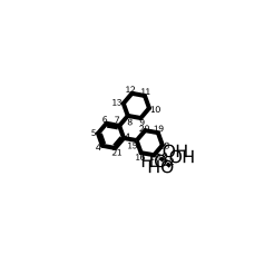 OO.OO.c1ccc(C2CCCCC2)c(C2CCCCC2)c1